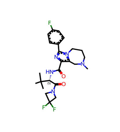 CN1CCCn2c(-c3ccc(F)cc3)nc(C(=O)N[C@H](C(=O)N3CC(F)(F)C3)C(C)(C)C)c2C1